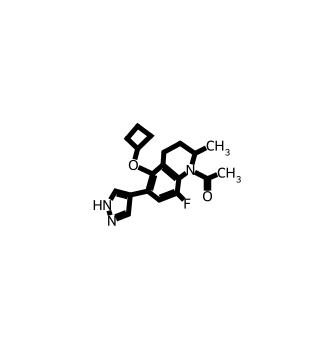 CC(=O)N1c2c(F)cc(-c3cn[nH]c3)c(OC3CCC3)c2CCC1C